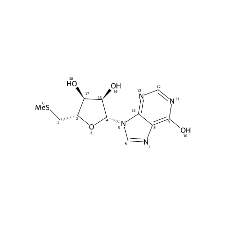 CSC[C@H]1O[C@@H](n2cnc3c(O)ncnc32)[C@H](O)[C@@H]1O